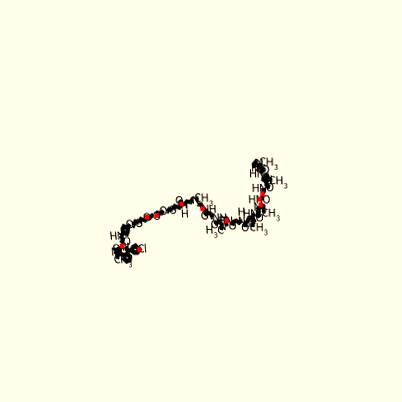 Cc1noc2c1-c1ccccc1C(c1ccc(Cl)cc1)=N[C@H]2CC(=O)Nc1ccc(OCCOCCOCCOCCOCCOCCC(=O)NCCCN(C)CCCNC(=O)CCNC(=O)c2nc(NC(=O)CCNC(=O)c3cc(NC(=O)c4nc(NC(=O)CCNC(=O)c5cc(NC(=O)c6nccn6C)cn5C)cn4C)cn3C)cn2C)cc1